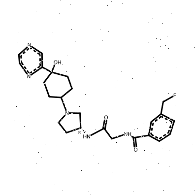 O=C(CNC(=O)c1cccc(CF)c1)N[C@@H]1CCN(C2CCC(O)(c3cnccn3)CC2)C1